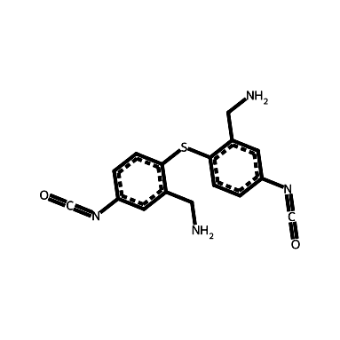 NCc1cc(N=C=O)ccc1Sc1ccc(N=C=O)cc1CN